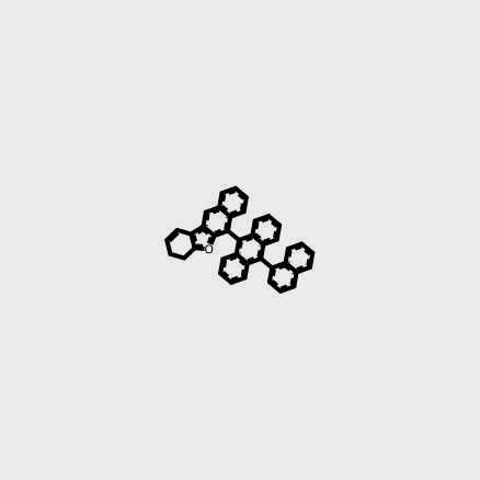 C1=Cc2c(oc3c(-c4c5ccccc5c(-c5cccc6ccccc56)c5ccccc45)c4ccccc4cc23)CC1